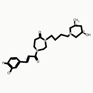 C[C@H]1C[C@@H](O)CN(CCCCN2CCN(C(=O)/C=C/c3ccc(F)c(Cl)c3)CCC2=O)C1